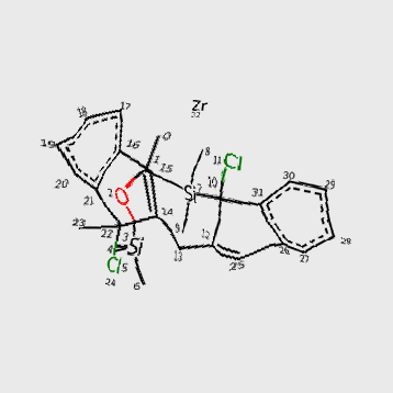 CC(O[Si](C)(C)C)[Si](C)(C)C1(Cl)C(CC2=Cc3ccccc3C2(C)Cl)=Cc2ccccc21.[Zr]